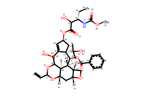 C=CC1O[C@H]2C[C@H]3OC[C@@]3(OC(C)=O)[C@H]3[C@H](OC(=O)c4ccccc4)[C@]4(C(C)(C)O)C[C@H](OC(=O)C(O)[C@H](CC(C)C)NC(=O)OC(C)(C)C)C=C4[C@H](O)[C@H](O1)[C@]23C